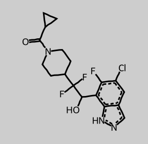 O=C(C1CC1)N1CCC(C(F)(F)C(O)c2c(F)c(Cl)cc3cn[nH]c23)CC1